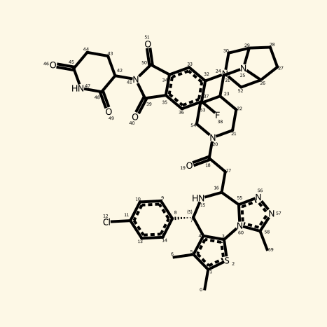 Cc1sc2c(c1C)[C@H](c1ccc(Cl)cc1)NC(CC(=O)N1CCC(CN3C4CCC3CN(c3cc5c(cc3F)C(=O)N(C3CCC(=O)NC3=O)C5=O)C4)CC1)c1nnc(C)n1-2